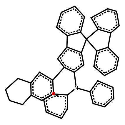 Cc1cc2c(cc1-c1cc3c(cc1N(c1ccccc1)c1ccccc1)C1(c4ccccc4-c4ccccc41)c1ccccc1-3)CCCC2